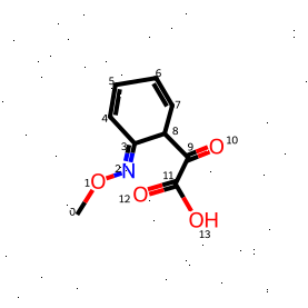 CON=C1C=CC=CC1C(=O)C(=O)O